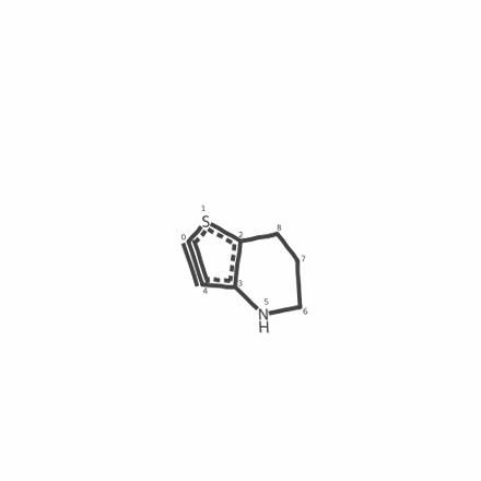 c1sc2c(c#1)NCCC2